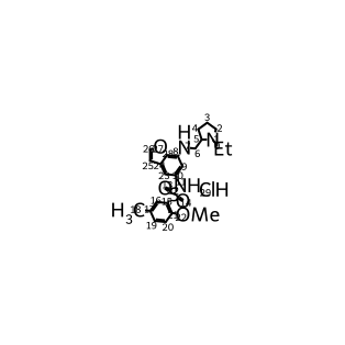 CCN1CCCC1CNc1cc(NS(=O)(=O)c2cc(C)ccc2OC)cc2ccoc12.Cl